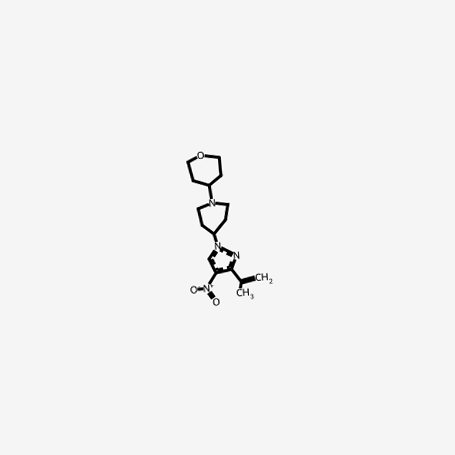 C=C(C)c1nn(C2CCN(C3CCOCC3)CC2)cc1[N+](=O)[O-]